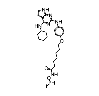 O=C(CCCCCCOc1ccc(Nc2nc(NC3CCCCC3)c3cc[nH]c3n2)cc1)NOPI